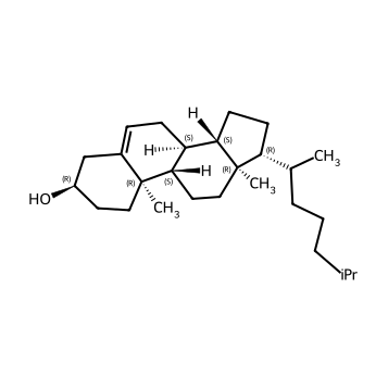 CC(C)CCCC(C)[C@H]1CC[C@H]2[C@@H]3CC=C4C[C@H](O)CC[C@]4(C)[C@H]3CC[C@]12C